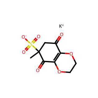 CC1(S(=O)(=O)[O-])CC(=O)C2=C(OCCO2)C1=O.[K+]